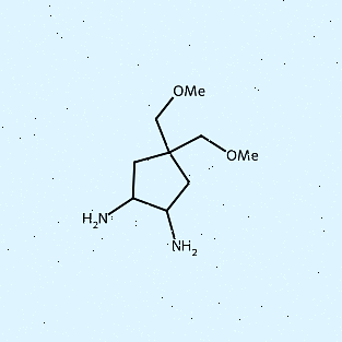 COCC1(COC)CC(N)C(N)C1